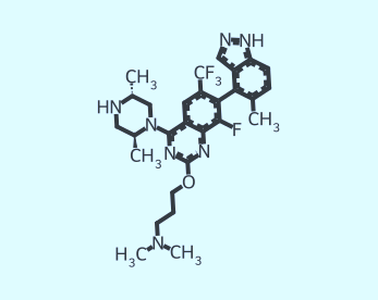 Cc1ccc2[nH]ncc2c1-c1c(C(F)(F)F)cc2c(N3C[C@@H](C)NC[C@@H]3C)nc(OCCCN(C)C)nc2c1F